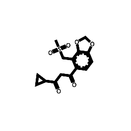 CS(=O)(=O)Cc1c(C(=O)CC(=O)C2CC2)ccc2c1OCO2